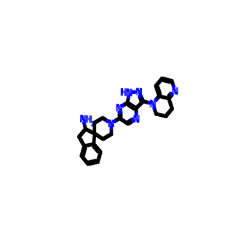 NC1Cc2ccccc2C12CCN(c1cnc3c(N4CCCc5ncccc54)n[nH]c3n1)CC2